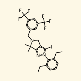 CCc1cccc(CC)c1-n1nc2c(c1I)CN(Cc1cc(C(F)(F)F)cc(C(F)(F)F)c1)C2(C)C